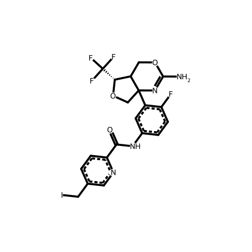 NC1=NC2(c3cc(NC(=O)c4ccc(CI)cn4)ccc3F)CO[C@H](C(F)(F)F)C2CO1